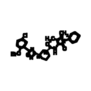 CCOc1ccc(Cl)cc1-c1nc([C@H]2CCC[C@@H](C(=O)Nc3c(C)n(C)n(-c4ccccc4)c3=O)C2)no1